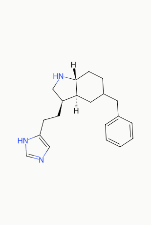 c1ccc(CC2CC[C@H]3NC[C@H](CCc4cnc[nH]4)[C@@H]3C2)cc1